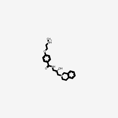 CNCCOc1ccc(C(=O)NC[C@H](O)CN2CCc3ccccc3C2)cc1